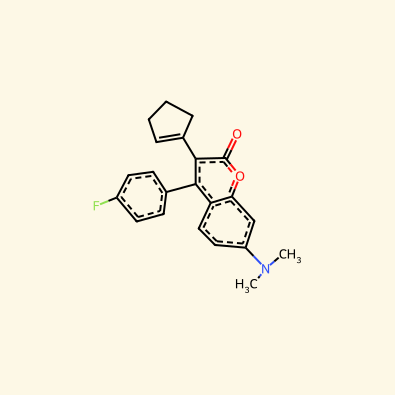 CN(C)c1ccc2c(-c3ccc(F)cc3)c(C3=CCCC3)c(=O)oc2c1